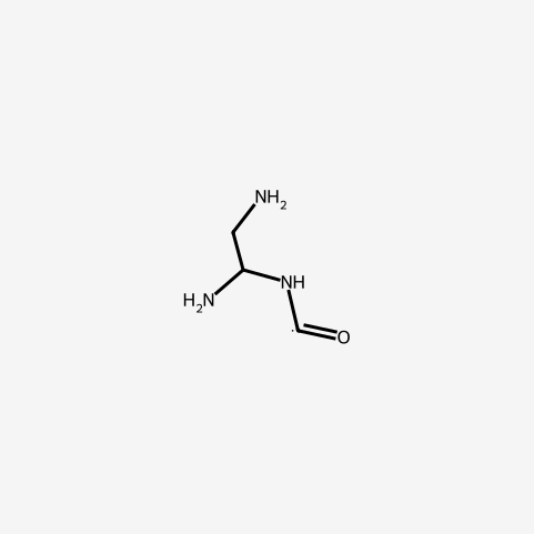 NCC(N)N[C]=O